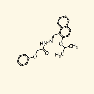 CC(C)Oc1ccc2ccccc2c1C=NNC(=O)COc1ccccc1